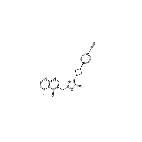 Cc1ccnc2ncn(Cc3nn([C@H]4C[C@H](c5ccc(C#N)cc5)C4)c(=O)o3)c(=O)c12